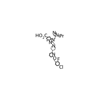 CC(C)n1cncc1Cn1c(CN2CCC(c3cccc(OCc4ccc(Cl)cc4F)n3)CC2)nc2sc(C(=O)O)cc21